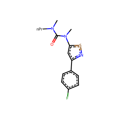 CCCN(C)C(=O)N(C)c1cc(-c2ccc(F)cc2)ns1